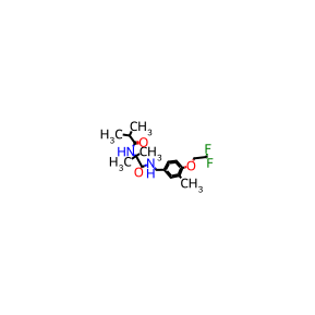 Cc1cc(CNC(=O)C(C)(C)NC(=O)C(C)C)ccc1OCC(F)F